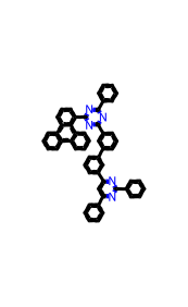 c1ccc(-c2cc(-c3cccc(-c4cccc(-c5nc(-c6ccccc6)nc(-c6cccc7c8ccccc8c8ccccc8c67)n5)c4)c3)nc(-c3ccccc3)n2)cc1